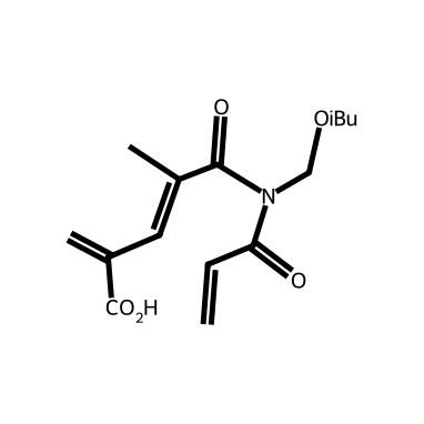 C=CC(=O)N(COCC(C)C)C(=O)C(C)=CC(=C)C(=O)O